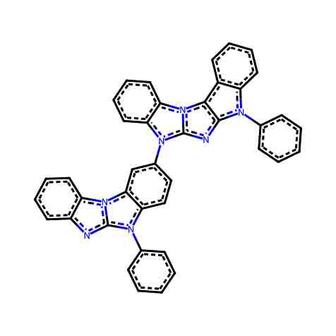 c1ccc(-n2c3ccccc3c3c2nc2n(-c4ccc5c(c4)n4c6ccccc6nc4n5-c4ccccc4)c4ccccc4n32)cc1